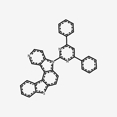 c1ccc(-c2cc(-c3ccccc3)nc(-n3c4ccncc4c4c5c(ccc43)sc3ccccc35)n2)cc1